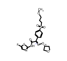 COCCCS(=O)(=O)c1ccc(/C(=N\O[C@@H]2CCOC2)C(=O)Nc2ncc(F)s2)cc1